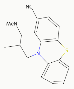 CNCC(C)CN1c2ccccc2Sc2ccc(C#N)cc21